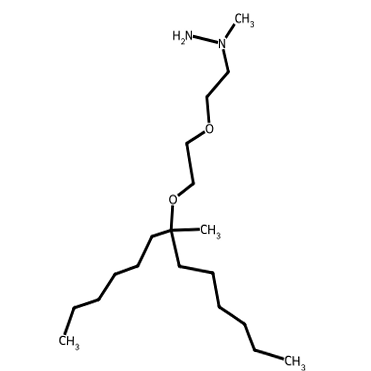 CCCCCCC(C)(CCCCCC)OCCOCCN(C)N